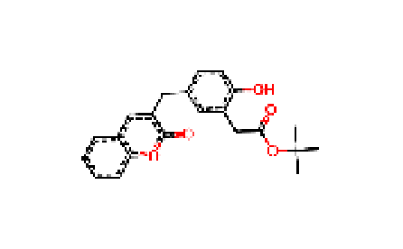 CC(C)(C)OC(=O)Cc1cc(Cc2cc3ccccc3oc2=O)ccc1O